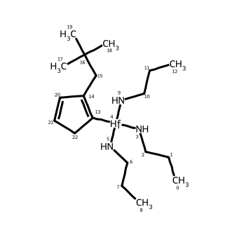 CCC[NH][Hf]([NH]CCC)([NH]CCC)[C]1=C(CC(C)(C)C)C=CC1